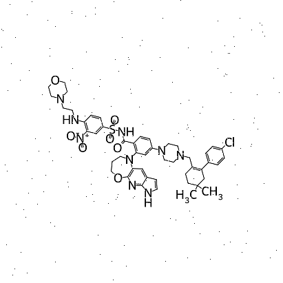 CC1(C)CCC(CN2CCN(c3ccc(C(=O)NS(=O)(=O)c4ccc(NCCN5CCOCC5)c([N+](=O)[O-])c4)c(N4CCCOc5nc6[nH]ccc6cc54)c3)CC2)=C(c2ccc(Cl)cc2)C1